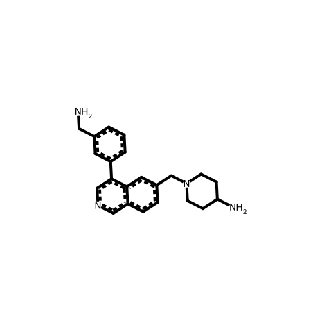 NCc1cccc(-c2cncc3ccc(CN4CCC(N)CC4)cc23)c1